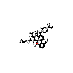 C=CC(=O)N1CCN(c2nc(=O)n(-c3c(C(C)C)nc(OCCN(C)C)nc3C(C)C)c3nc(-c4c(N)cccc4F)c(Cl)cc23)[C@@H](C)C1